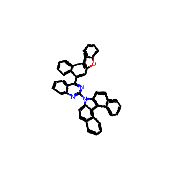 c1ccc2c(c1)ccc1c2c2c3ccccc3ccc2n1-c1nc(-c2cc3oc4ccccc4c3c3ccccc23)c2ccccc2n1